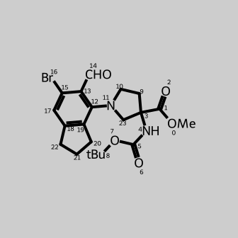 COC(=O)C1(NC(=O)OC(C)(C)C)CCN(c2c(C=O)c(Br)cc3c2CCC3)C1